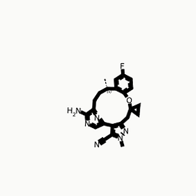 C[C@H]1CCc2nc(cnc2N)-c2c(nn(C)c2C#N)CC2(CC2)Oc2ccc(F)cc21